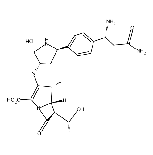 C[C@@H](O)[C@H]1C(=O)N2C(C(=O)O)=C(S[C@@H]3CN[C@@H](c4ccc([C@H](N)CC(N)=O)cc4)C3)[C@H](C)[C@H]12.Cl